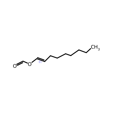 CCCCCCC/C=C/OC=O